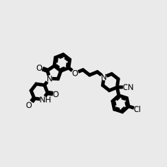 N#CC1(c2cccc(Cl)c2)CCN(CCCOc2cccc3c2CN(C2CCC(=O)NC2=O)C3=O)CC1